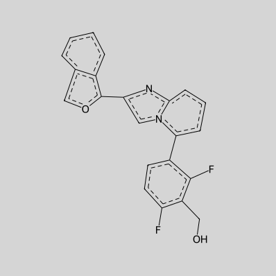 OCc1c(F)ccc(-c2cccc3nc(-c4occ5ccccc45)cn23)c1F